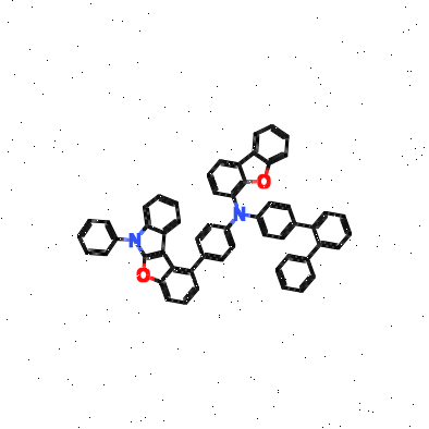 c1ccc(-c2ccccc2-c2ccc(N(c3ccc(-c4cccc5oc6c(c7ccccc7n6-c6ccccc6)c45)cc3)c3cccc4c3oc3ccccc34)cc2)cc1